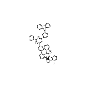 CN1c2cccc(-c3ccc(-c4cc(-c5cccc(-n6c7ccccc7c7ccccc76)c5)nc(-c5ccccc5)n4)cc3)c2-c2c(sc3ccccc23)C1c1ccccc1